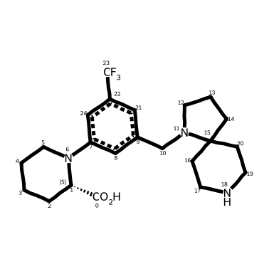 O=C(O)[C@@H]1CCCCN1c1cc(CN2CCCC23CCNCC3)cc(C(F)(F)F)c1